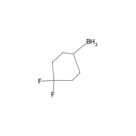 BC1CCC(F)(F)CC1